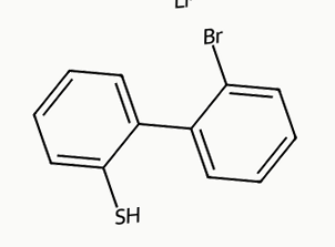 Sc1ccccc1-c1ccccc1Br.[Li]